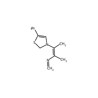 C=N/C(C)=C(/C)N1C=C(C(C)C)SC1